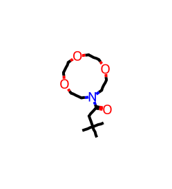 CC(C)(C)CC(=O)N1CCOCCOCCOCC1